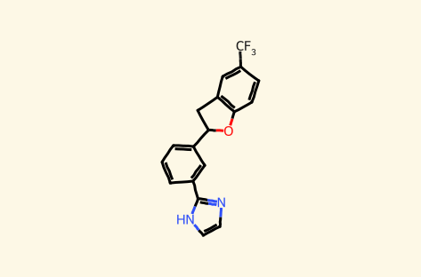 FC(F)(F)c1ccc2c(c1)CC(c1cccc(-c3ncc[nH]3)c1)O2